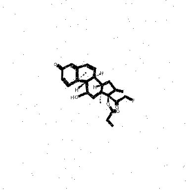 CCC(=O)O[C@]1(C(=O)CF)C(C)C[C@H]2[C@@H]3C=CC4=CC(=O)C=C[C@]4(C)[C@H]3C(O)C[C@@]21C